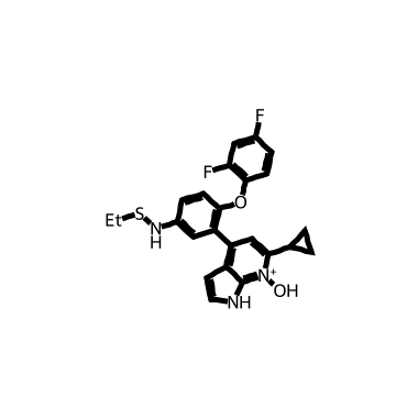 CCSNc1ccc(Oc2ccc(F)cc2F)c(-c2cc(C3CC3)[n+](O)c3[nH]ccc23)c1